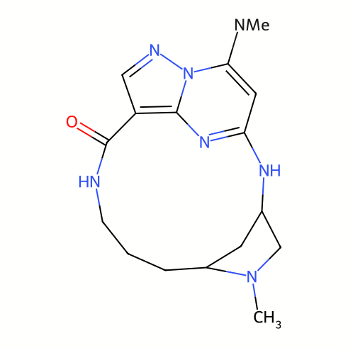 CNc1cc2nc3c(cnn13)C(=O)NCCCC1CC(CN1C)N2